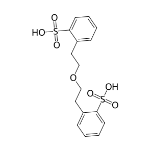 O=S(=O)(O)c1ccccc1CCOCCc1ccccc1S(=O)(=O)O